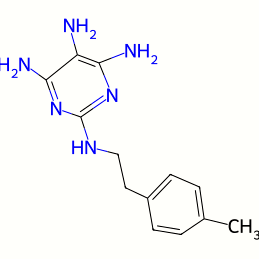 Cc1ccc(CCNc2nc(N)c(N)c(N)n2)cc1